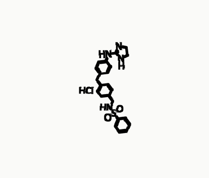 Cl.O=S(=O)(NCc1ccc(Cc2ccc(NC3=NCCN3)cc2)cc1)c1ccccc1